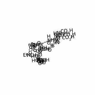 CCCc1cc2c(cc1C)C(c1ccccc1C(=O)N(C)CCCC(=O)NCCCCCC(=O)NCCCCC(NC(=O)C1CCCN1C(=O)CCSSCCC(=O)NCC#Cc1cn([C@H]3CC(O)[C@@H](COP(=O)(O)OP(=O)(O)OP(=O)(O)O)O3)c(=O)nc1N)C(=O)N1CCCC1C(=O)NC(CC(=O)O)C(=O)NC(CC(=O)O)C(=O)O)C1C=C(C)/C(=N/CC)C=C1C2